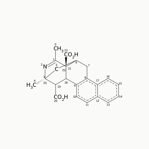 CC1=N[C@@]2(C)CC3Cc4c(ccc5ccccc45)C(C2C(=O)O)[C@]13C(=O)O